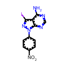 Nc1ncnc2c1c(I)nn2-c1ccc([N+](=O)[O-])cc1